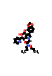 CCCON(CCC)C(=O)CN1C[C@H](c2ccc3c(c2)OCO3)[C@@H](C(=O)O)[C@@H]1CCc1ccccn1